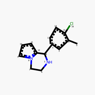 Cc1cc(C2NCCn3cccc32)ccc1Cl